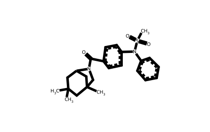 CC1(C)CC2CC(C)(CN2C(=O)c2ccc(N(c3ccccc3)S(C)(=O)=O)cc2)C1